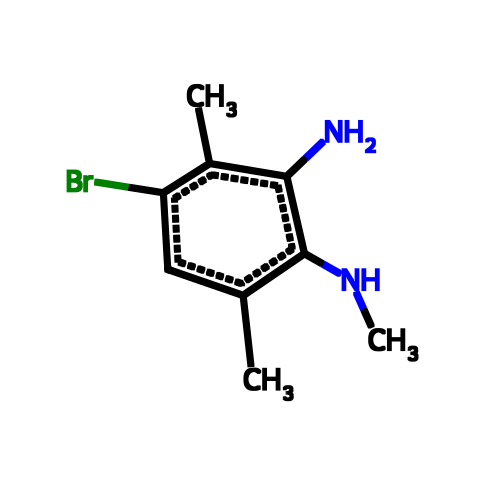 CNc1c(C)cc(Br)c(C)c1N